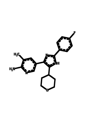 Cc1cc(-c2nc(-c3ccc(F)cc3)[nH]c2C2CCOCC2)cnc1N